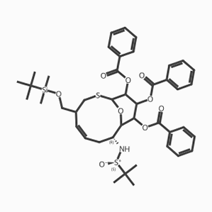 CC(C)(C)[S@@+]([O-])N[C@@H]1CC=CC(CO[Si](C)(C)C(C)(C)C)CSC2OC1C(OC(=O)c1ccccc1)C(OC(=O)c1ccccc1)C2OC(=O)c1ccccc1